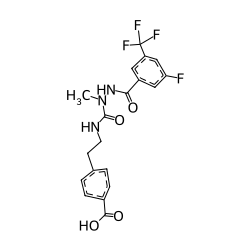 CN(NC(=O)c1cc(F)cc(C(F)(F)F)c1)C(=O)NCCc1ccc(C(=O)O)cc1